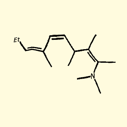 CC/C=C(C)\C=C/C(C)/C(C)=C(/C)N(C)C